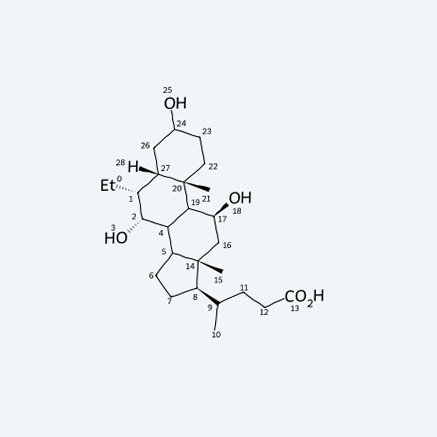 CC[C@H]1[C@@H](O)C2C3CC[C@H](C(C)CCC(=O)O)[C@@]3(C)C[C@H](O)C2[C@@]2(C)CCC(O)C[C@@H]12